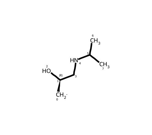 [CH2][C@@H](O)CNC(C)C